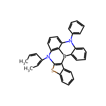 C/C=C\C(=C/C)N1c2cccc3c2B(c2ccccc2N3c2ccccc2)c2c1sc1ccccc21